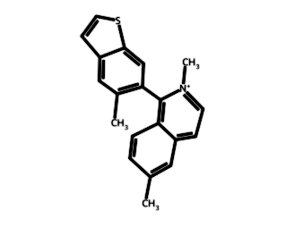 Cc1ccc2c(-c3cc4sccc4cc3C)[n+](C)ccc2c1